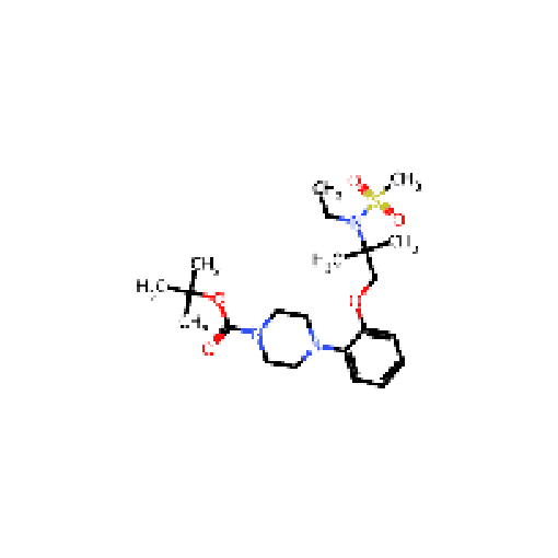 CCN(C(C)(C)COc1ccccc1N1CCN(C(=O)OC(C)(C)C)CC1)S(C)(=O)=O